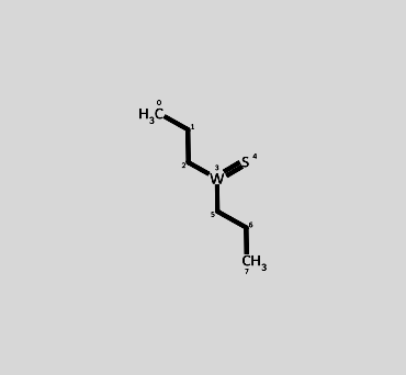 CC[CH2][W](=[S])[CH2]CC